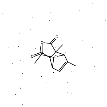 CC1=CC2C(C(C)C)CC1C1(C)C(=O)OC(=O)C21